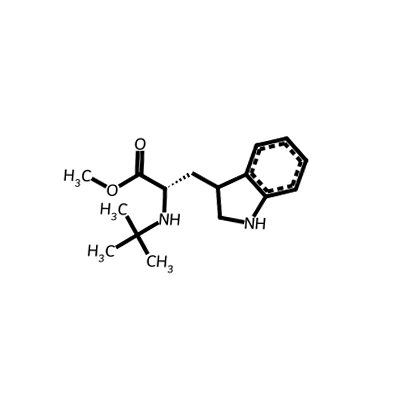 COC(=O)[C@H](CC1CNc2ccccc21)NC(C)(C)C